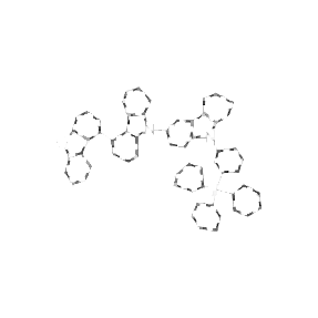 c1ccc([Si](c2ccccc2)(c2ccccc2)c2cccc(-n3c4ccccc4c4cc(-n5c6ccccc6c6c(-c7cccc8oc9ccccc9c78)cccc65)ccc43)c2)cc1